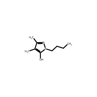 CCCCn1nc(C)c(C)c1O